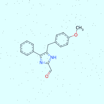 COc1ccc(Cc2[nH]c(C=O)nc2-c2ccccc2)cc1